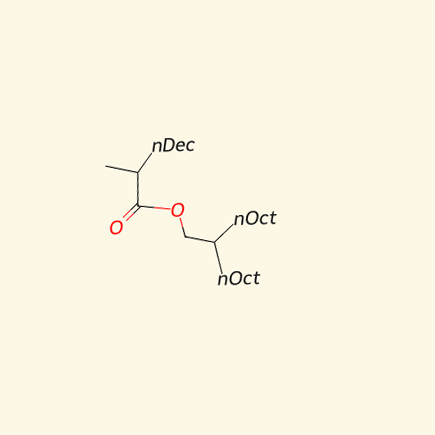 CCCCCCCCCCC(C)C(=O)OCC(CCCCCCCC)CCCCCCCC